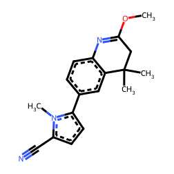 COC1=Nc2ccc(-c3ccc(C#N)n3C)cc2C(C)(C)C1